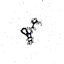 Nc1nonc1C(=O)N/N=C1\c2ccccc2-c2nc3nonc3nc21